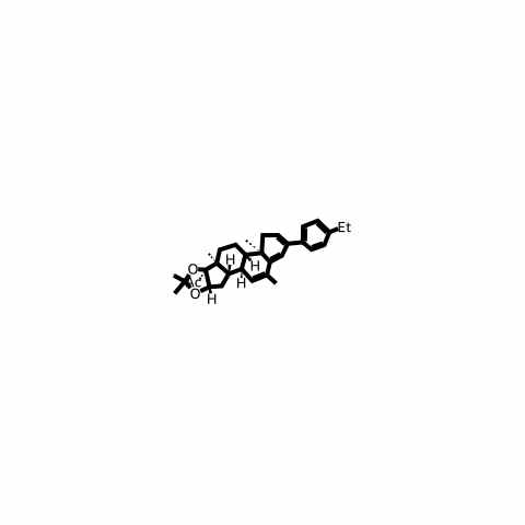 CCc1ccc(C2=CC[C@@]3(C)C(=C2)C(C)=C[C@@H]2[C@@H]3CC[C@@]3(C)[C@H]2C[C@@H]2OC(C)(C)O[C@]23C(C)=O)cc1